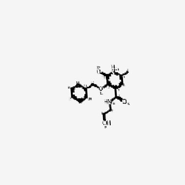 Cc1cc(C(=O)NCCO)c(OCc2ccccc2)c(=O)[nH]1